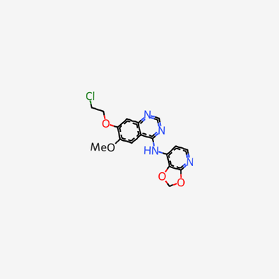 COc1cc2c(Nc3ccnc4c3OCO4)ncnc2cc1OCCCl